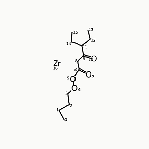 CCCCOOC(=O)CC(=O)C(CC)CC.[Zr]